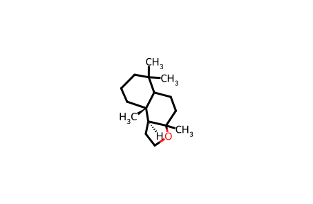 CC1(C)CCC[C@]2(C)C1CCC1(C)OCC[C@H]12